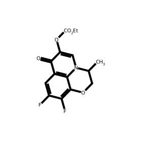 CCOC(=O)Oc1cn2c3c(c(F)c(F)cc3c1=O)OCC2C